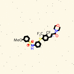 COc1cccc(S(=O)(=O)Nc2cccc(Sc3ccc(/C=C/C(=O)N4CCOCC4)c(C(F)(F)F)c3C(F)(F)F)c2)c1